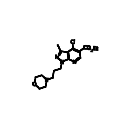 CCOC(=O)c1cnc2c(c(C)nn2CCCN2CCOCC2)c1Cl